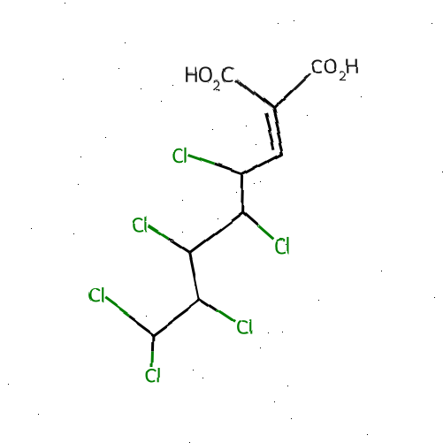 O=C(O)C(=CC(Cl)C(Cl)C(Cl)C(Cl)C(Cl)Cl)C(=O)O